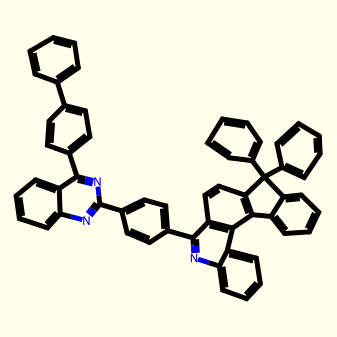 c1ccc(-c2ccc(-c3nc(-c4ccc(-c5nc6ccccc6c6c7c(ccc56)C(c5ccccc5)(c5ccccc5)c5ccccc5-7)cc4)nc4ccccc34)cc2)cc1